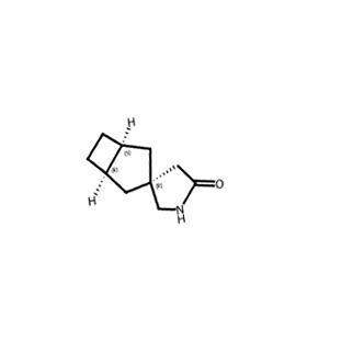 O=C1C[C@]2(CN1)C[C@H]1CC[C@H]1C2